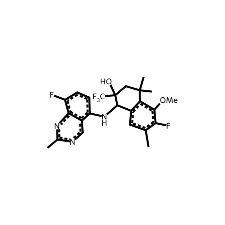 COc1c(F)c(C)cc2c1C(C)(C)CC(O)(C(F)(F)F)C2Nc1ccc(F)c2nc(C)ncc12